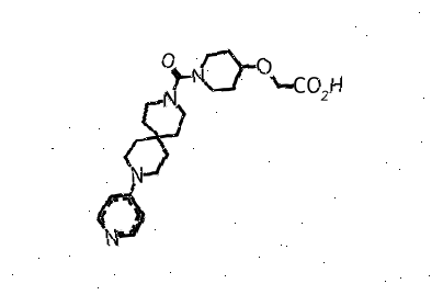 O=C(O)COC1CCN(C(=O)N2CCC3(CC2)CCN(c2ccncc2)CC3)CC1